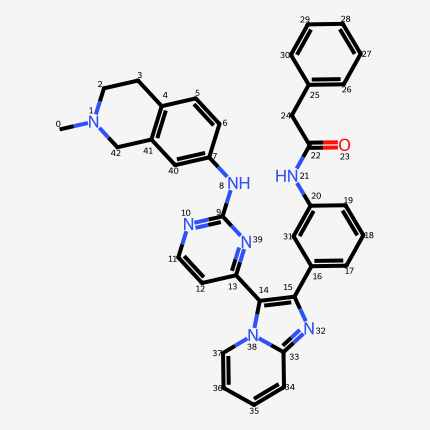 CN1CCc2ccc(Nc3nccc(-c4c(-c5cccc(NC(=O)Cc6ccccc6)c5)nc5ccccn45)n3)cc2C1